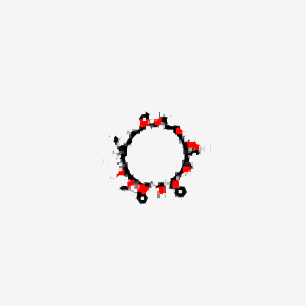 CCCCC[C@H]1C(=O)N(C)[C@@H](CCCC)C(=O)N[C@@H](C)C(=O)N[C@H](C(=O)NCC(N)=O)CSCC(=O)N[C@@H](Cc2ccc(O)cc2)C(=O)N(C)[C@@H](C)C(=O)N[C@@H](CC(=O)O)C(=O)N2CCC[C@H]2C(=O)N[C@@H](Cc2cnc[nH]2)C(=O)N[C@@H](CCC(=O)O)C(=O)N2C[C@H](O)C[C@H]2C(=O)N[C@@H](Cc2c[nH]c3ccccc23)C(=O)N[C@@H](CCN)C(=O)N[C@@H](Cc2c[nH]c3ccccc23)C(=O)N1C